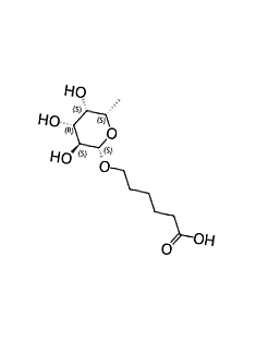 C[C@@H]1O[C@H](OCCCCCC(=O)O)[C@@H](O)[C@H](O)[C@@H]1O